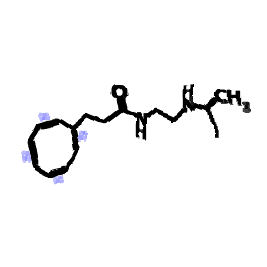 CC(I)NCCNC(=O)CCC1=C/C=C\C=C/C=C\1